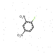 O=[N+]([O-])c1[c]c([N+](=O)[O-])c(F)cc1